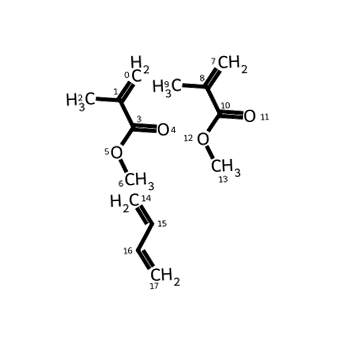 C=C(C)C(=O)OC.C=C(C)C(=O)OC.C=CC=C